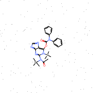 CC(=O)N(c1nc2ncnc-2c(OC(=O)N(c2ccccc2)c2ccccc2)n1[Si](C)(C)C)[Si](C)(C)C